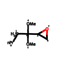 CCC[SiH2]C(OC)(OC)C1CO1